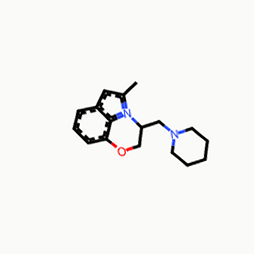 Cc1cc2cccc3c2n1C(CN1CCCCC1)CO3